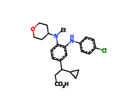 CCN(c1ccc(C(CC(=O)O)C2CC2)cc1Nc1ccc(Cl)cc1)C1CCOCC1